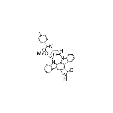 CO[C@@H]1[C@H](N(C)C(=O)c2ccc(C)cc2)C[C@H]2O[C@]1(C)n1c3ccccc3c3c4c(c5c6ccccc6n2c5c31)C(=O)NC4